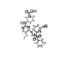 CCc1cnc(NC2CCCN(C(=O)O)C2)nc1-c1cn(S(=O)(=O)c2ccccc2)c2nc(C#N)ccc12